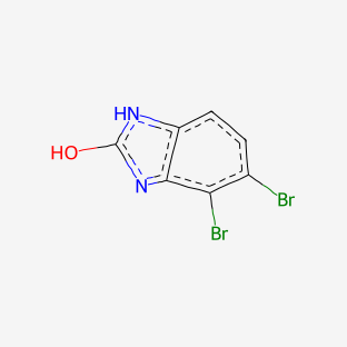 Oc1nc2c(Br)c(Br)ccc2[nH]1